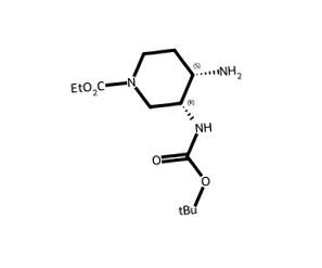 CCOC(=O)N1CC[C@H](N)[C@H](NC(=O)OC(C)(C)C)C1